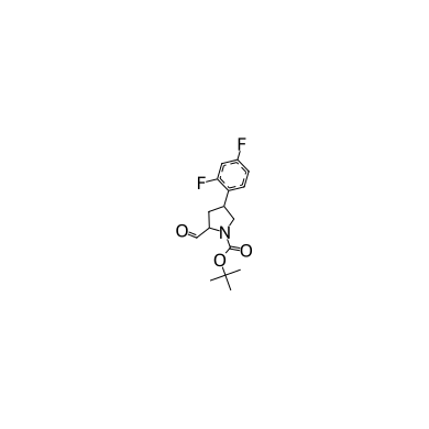 CC(C)(C)OC(=O)N1CC(c2ccc(F)cc2F)CC1C=O